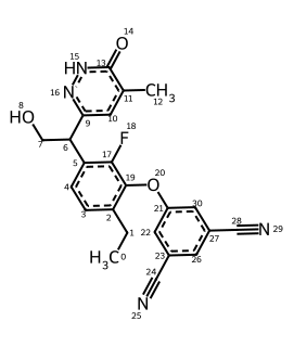 CCc1ccc(C(CO)c2cc(C)c(=O)[nH]n2)c(F)c1Oc1cc(C#N)cc(C#N)c1